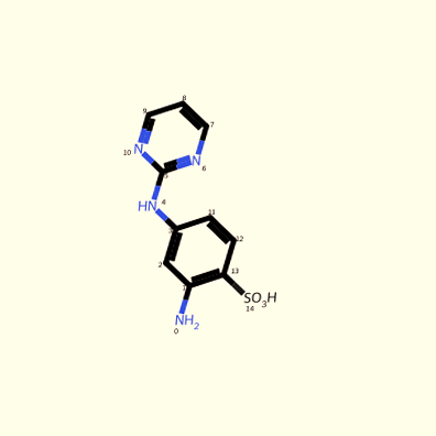 Nc1cc(Nc2ncccn2)ccc1S(=O)(=O)O